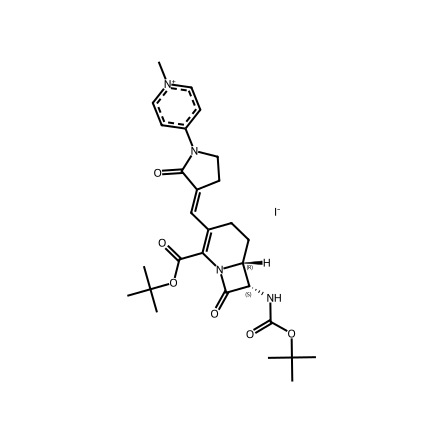 C[n+]1ccc(N2CCC(=CC3=C(C(=O)OC(C)(C)C)N4C(=O)[C@@H](NC(=O)OC(C)(C)C)[C@H]4CC3)C2=O)cc1.[I-]